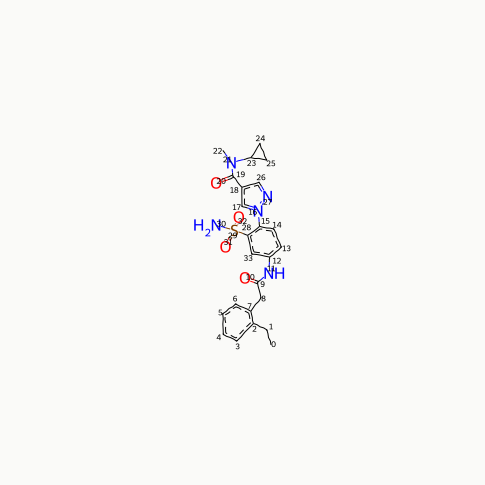 CCc1ccccc1CC(=O)Nc1ccc(-n2cc(C(=O)N(C)C3CC3)cn2)c(S(N)(=O)=O)c1